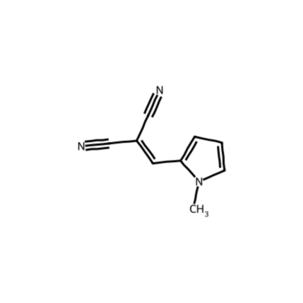 Cn1cccc1C=C(C#N)C#N